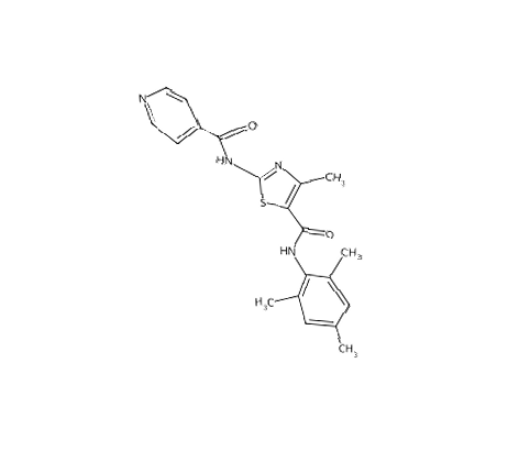 Cc1cc(C)c(NC(=O)c2sc(NC(=O)c3ccncc3)nc2C)c(C)c1